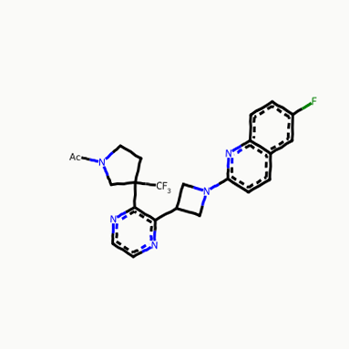 CC(=O)N1CCC(c2nccnc2C2CN(c3ccc4cc(F)ccc4n3)C2)(C(F)(F)F)C1